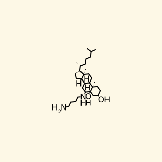 CC(C)CCC[C@@H](C)[C@H]1CC[C@H]2[C@@H]3CC(NCCCCN)C4(O)CC(O)CC[C@]4(C)[C@H]3CC[C@]12C